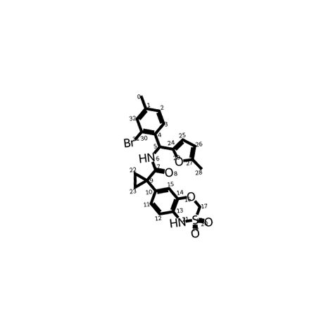 Cc1ccc(C(NC(=O)C2(c3ccc4c(c3)OCS(=O)(=O)N4)CC2)c2ccc(C)o2)c(Br)c1